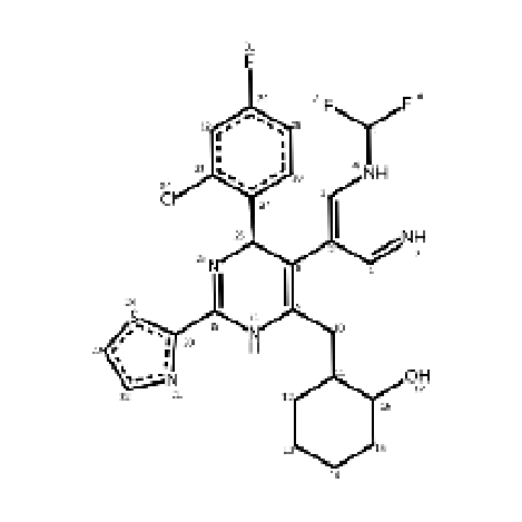 N=C/C(=C\NC(F)F)C1=C(CC2CCCCC2O)NC(c2nccs2)=N[C@H]1c1ccc(F)cc1Cl